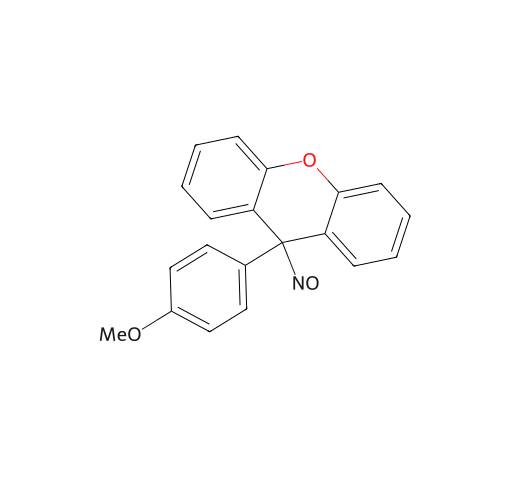 COc1ccc(C2(N=O)c3ccccc3Oc3ccccc32)cc1